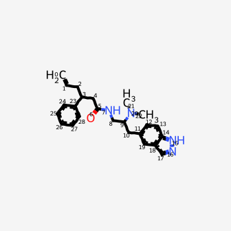 C=CCC(CC(=O)NCC(Cc1ccc2[nH]ncc2c1)N(C)C)c1ccccc1